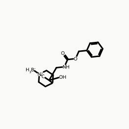 [BH3-][N+]12CCC(CC1)C(O)(CNC(=O)OCc1ccccc1)C2